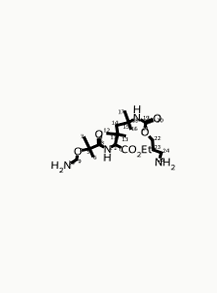 CCOC(=O)C(NC(=O)C(C)(C)OCN)C(C)(C)CC(C)(C)NC(=O)OCCCN